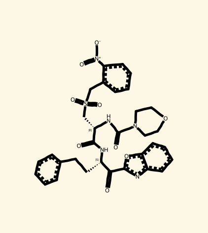 O=C(N[C@@H](CCc1ccccc1)C(=O)c1nc2ccccc2o1)[C@H](CS(=O)(=O)Cc1ccccc1[N+](=O)[O-])NC(=O)N1CCOCC1